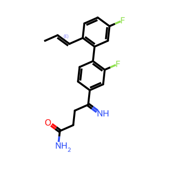 C/C=C/c1ccc(F)cc1-c1ccc(C(=N)CCC(N)=O)cc1F